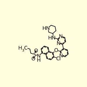 CCCS(=O)(=O)Nc1cccc2c(Oc3ncccc3-c3ccnc(NC4CCCNC4)n3)c(Cl)ccc12